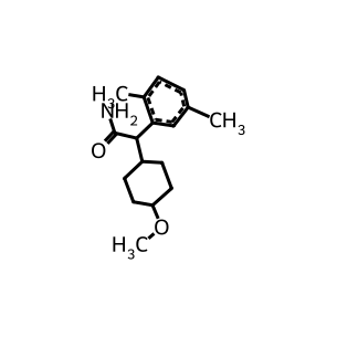 COC1CCC(C(C(N)=O)c2cc(C)ccc2C)CC1